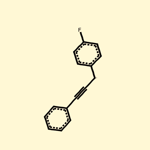 Fc1ccc([CH]C#Cc2ccccc2)cc1